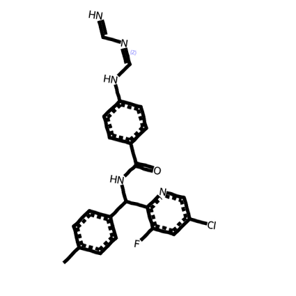 Cc1ccc(C(NC(=O)c2ccc(N/C=N\C=N)cc2)c2ncc(Cl)cc2F)cc1